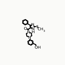 CSc1nc(-c2ccccc2)c(C(=O)N2CCN(c3cccc(CO)c3)CC2)[nH]1